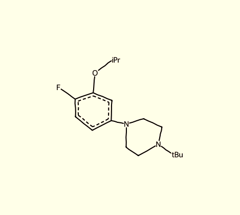 CC(C)Oc1cc(N2CCN(C(C)(C)C)CC2)ccc1F